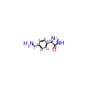 NCc1ccc(-c2ns[nH]c2=O)cc1